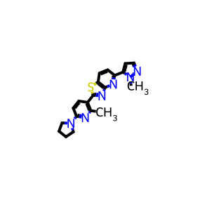 Cc1nc(N2CCCC2)ccc1-c1nc2nc(-c3ccnn3C)ccc2s1